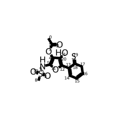 CC(=O)Oc1c(NS(C)(=O)=O)oc(C2=CC=CCC2=S)c1O